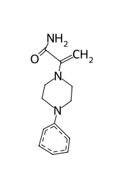 C=C(C(N)=O)N1CCN(c2ccccc2)CC1